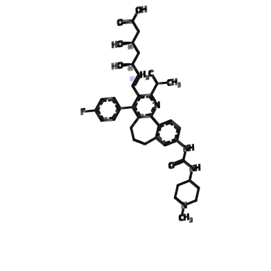 CC(C)c1nc2c(c(-c3ccc(F)cc3)c1/C=C/[C@@H](O)C[C@@H](O)CC(=O)O)CCCc1cc(NC(=O)NC3CCN(C)CC3)ccc1-2